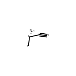 C#CCC.[Na]